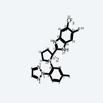 Cc1c[c]c(-n2nccn2)c(N2CCC[C@@]2(C)c2nc3cc(C(F)(F)F)c(F)cc3[nH]2)c1